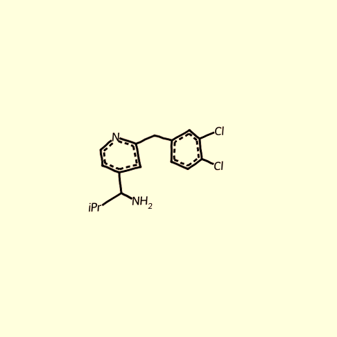 CC(C)C(N)c1ccnc(Cc2ccc(Cl)c(Cl)c2)c1